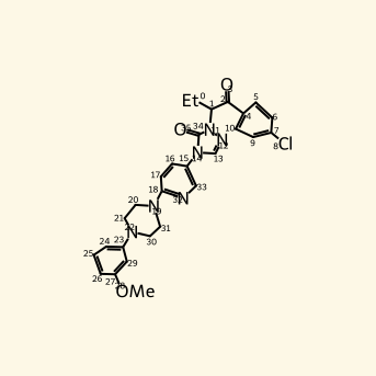 CCC(C(=O)c1ccc(Cl)cc1)n1ncn(-c2ccc(N3CCN(c4cccc(OC)c4)CC3)nc2)c1=O